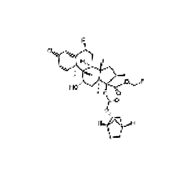 C[C@@H]1C[C@H]2[C@@H]3C[C@H](F)C4=CC(=O)C=C[C@]4(C)[C@@]3(F)[C@@H](O)C[C@]2(C)[C@@]1(OC(=O)O[C@@H]1C[C@@H]2CC[C@H]1C2)C(=O)OCF